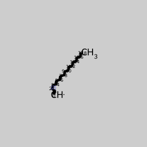 [CH]=C/C=C\C=CC=CCCCCCCCCCCC